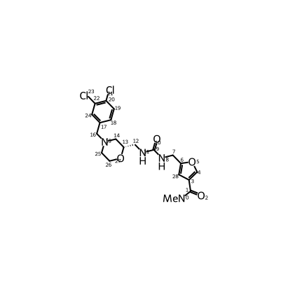 CNC(=O)c1coc(CNC(=O)NC[C@H]2CN(Cc3ccc(Cl)c(Cl)c3)CCO2)c1